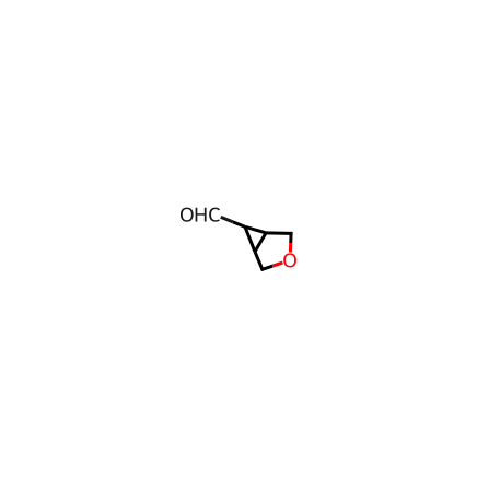 O=CC1C2COCC12